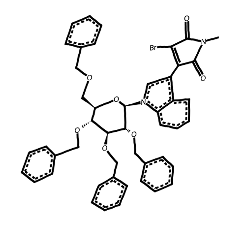 CN1C(=O)C(Br)=C(c2cn([C@@H]3O[C@H](COCc4ccccc4)[C@@H](OCc4ccccc4)[C@H](OCc4ccccc4)[C@H]3OCc3ccccc3)c3ccccc23)C1=O